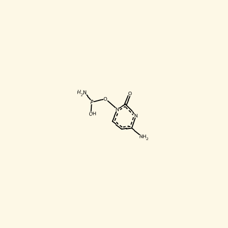 Nc1ccn(OP(N)O)c(=O)n1